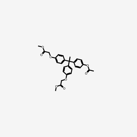 COC(=O)COc1ccc(C(C)(c2ccc(OCC(=O)OC)cc2)c2ccc(OC(C)=O)cc2)cc1